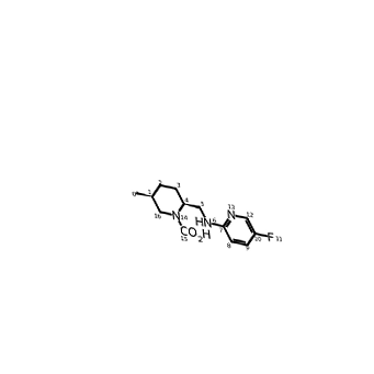 C[C@H]1CC[C@@H](CNc2ccc(F)cn2)N(C(=O)O)C1